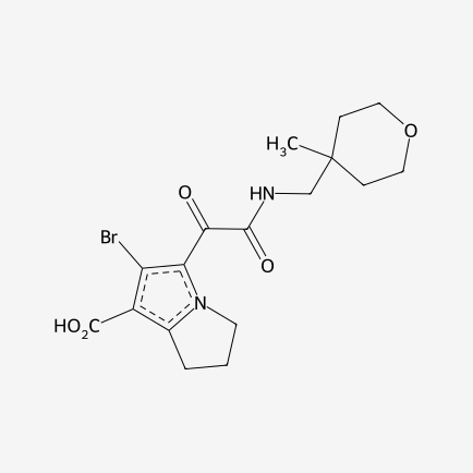 CC1(CNC(=O)C(=O)c2c(Br)c(C(=O)O)c3n2CCC3)CCOCC1